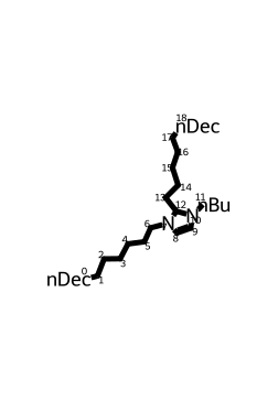 CCCCCCCCCCCCCCCCN1C=CN(CCCC)C1CCCCCCCCCCCCCCC